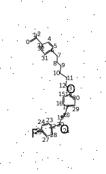 C=C(C)c1ccc(CCCCCCOc2ccc(C=CC(=O)c3ccc(F)cc3)cc2)cc1